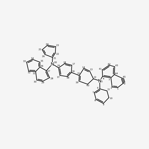 c1ccc2c(N(C3=CC=CCC3)C3C=CC(c4ccc(N(c5ccccc5)c5cccc6ccccc56)cc4)=CC3)cccc2c#1